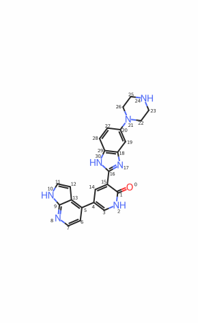 O=c1[nH]cc(-c2ccnc3[nH]ccc23)cc1-c1nc2cc(N3CCNCC3)ccc2[nH]1